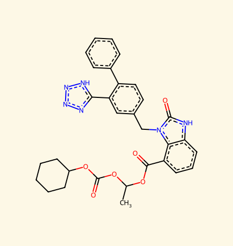 CC(OC(=O)OC1CCCCC1)OC(=O)c1cccc2[nH]c(=O)n(Cc3ccc(-c4ccccc4)c(-c4nnn[nH]4)c3)c12